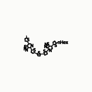 CCCCCCc1ccc(-c2cnc(-c3ccc(-c4ccc(-c5ccc(-c6ncc(-c7ccc(C)s7)c7snnc67)s5)s4)s3)c3nnsc23)s1